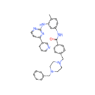 Cc1ccc(NC(=O)c2ccc(CN3CCN(Cc4ccccc4)CC3)cc2)cc1Nc1nccc(-c2cccnc2)n1